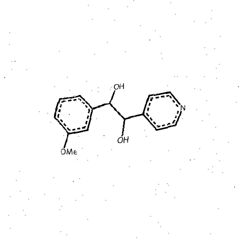 COc1cccc(C(O)C(O)c2ccncc2)c1